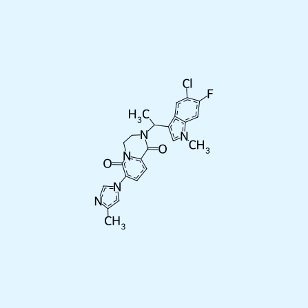 Cc1cn(-c2ccc3n(c2=O)CCN(C(C)c2cn(C)c4cc(F)c(Cl)cc24)C3=O)cn1